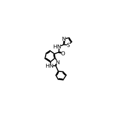 O=C(Nc1nccs1)c1cccc2[nH]c(-c3ccccc3)nc12